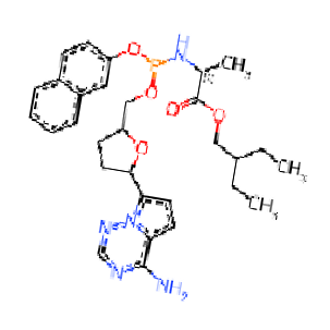 CCC(CC)COC(=O)[C@H](C)NP(OCC1CCC(c2ccc3c(N)ncnn23)O1)Oc1ccc2ccccc2c1